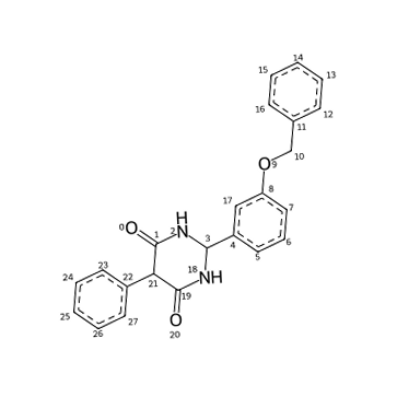 O=C1NC(c2cccc(OCc3ccccc3)c2)NC(=O)C1c1ccccc1